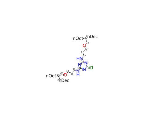 CCCCCCCCCCC(CCCCCCCC)COCCCNc1nc(Cl)nc(NCCCOCC(CCCCCCCC)CCCCCCCCCC)n1